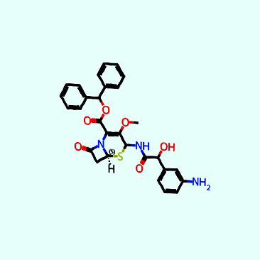 COC1=C(C(=O)OC(c2ccccc2)c2ccccc2)N2C(=O)C[C@@H]2SC1NC(=O)C(O)c1cccc(N)c1